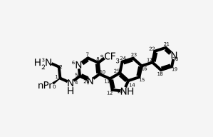 CCC[C@@H](CN)Nc1ncc(C(F)(F)F)c(-c2c[nH]c3cc(-c4ccncc4)ccc23)n1